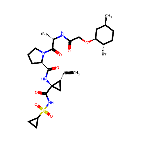 C=C[C@@H]1C[C@]1(NC(=O)[C@@H]1CCCN1C(=O)[C@@H](NC(=O)CO[C@H]1C[C@@H](C)CC[C@@H]1C(C)C)C(C)(C)C)C(=O)NS(=O)(=O)C1CC1